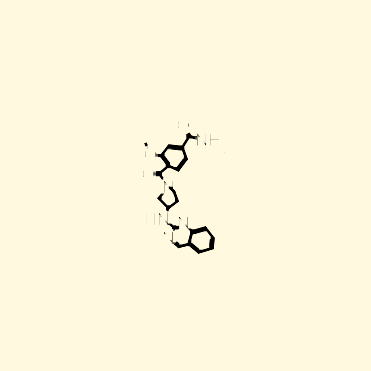 COc1cc(C(N)=O)ccc1C(=O)N1CCC(Nc2ncc3ccccc3n2)C1